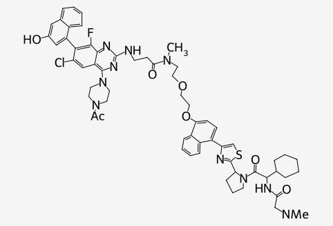 CNCC(=O)NC(C(=O)N1CCCC1c1nc(-c2ccc(OCCOCCN(C)C(=O)CCNc3nc(N4CCN(C(C)=O)CC4)c4cc(Cl)c(-c5cc(O)cc6ccccc56)c(F)c4n3)c3ccccc23)cs1)C1CCCCC1